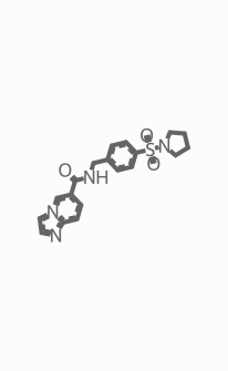 O=C(NCc1ccc(S(=O)(=O)N2CCCC2)cc1)c1ccc2nccn2c1